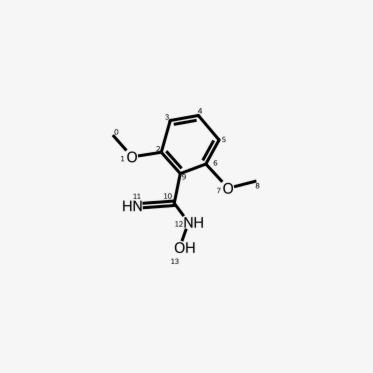 COc1cccc(OC)c1C(=N)NO